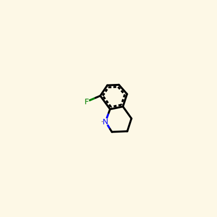 Fc1cccc2c1[N]CCC2